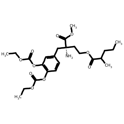 CCCC(C)C(=O)OCC[C@@](N)(Cc1ccc(OC(=O)OCC)c(OC(=O)OCC)c1)C(=O)OC